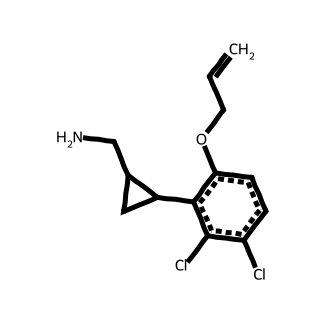 C=CCOc1ccc(Cl)c(Cl)c1C1CC1CN